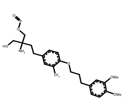 COc1ccc(CCCOc2ccc(CCC(N)(CO)COP=O)cc2C(F)(F)F)cc1OC